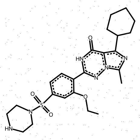 CCOc1cc(S(=O)(=O)N2CCNCC2)ccc1-c1nn2c(C)nc(C3CCCCC3)c2c(=O)[nH]1